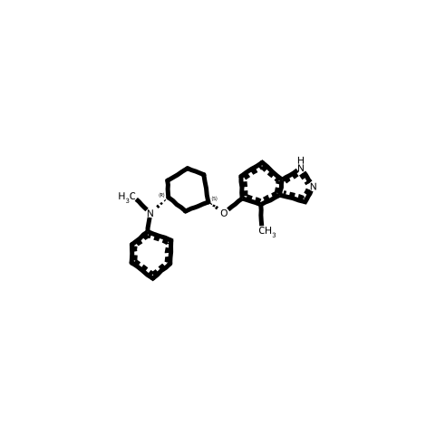 Cc1c(O[C@H]2CCC[C@@H](N(C)c3ccccc3)C2)ccc2[nH]ncc12